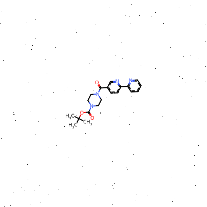 CC(C)(C)OC(=O)N1CCN(C(=O)c2ccc(-c3ccccn3)nc2)CC1